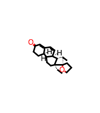 CC[C@H]1[C@@H]2C=CC3=CC(=O)CC[C@@H]3[C@H]2CC[C@]1(CC)[C@@]1(C)CCCO1